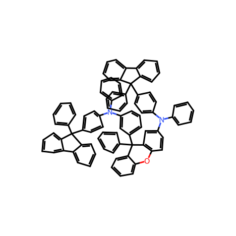 c1ccc(N(c2ccc(C3(c4ccccc4)c4ccccc4-c4ccccc43)cc2)c2cccc(C3(c4ccccc4)c4ccccc4Oc4ccc(N(c5ccccc5)c5ccc(C6(c7ccccc7)c7ccccc7-c7ccccc76)cc5)cc43)c2)cc1